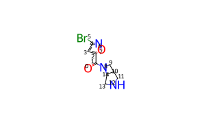 O=C(c1cc(Br)no1)N1CC2CNCC21